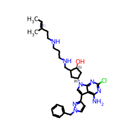 C/C=C(\C)CCNCCCNCC1C[C@@H](n2cc(-c3ccn(Cc4ccccc4)n3)c3c(N)nc(Cl)nc32)C[C@@H]1O